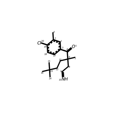 Cc1cc(C(=O)C(C)(CC=N)CCC(C)(C)C)ccc1Cl